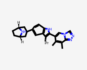 Cc1c(-c2[nH]c3ccc(C4C[C@H]5CC[C@@H](C4)N5)cc3c2C(C)C)cn2cnnc2c1C